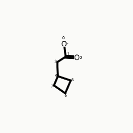 [O]C(=O)CC1CCC1